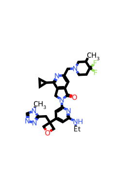 CCNc1cc(C2(Cc3nncn3C)COC2)cc(N2Cc3c(cc(CN4CCC(F)(F)C(C)C4)nc3C3CC3)C2=O)n1